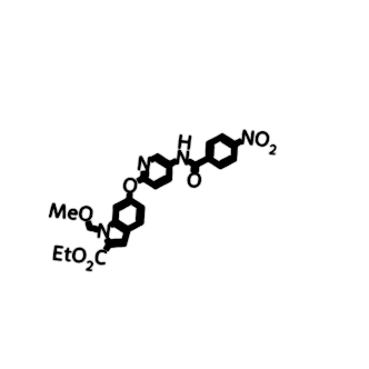 CCOC(=O)c1cc2ccc(Oc3ccc(NC(=O)c4ccc([N+](=O)[O-])cc4)cn3)cc2n1COC